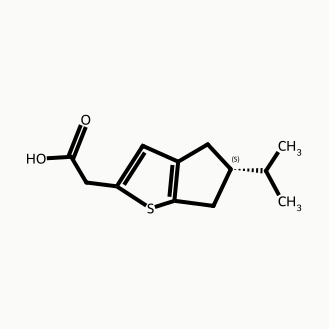 CC(C)[C@H]1Cc2cc(CC(=O)O)sc2C1